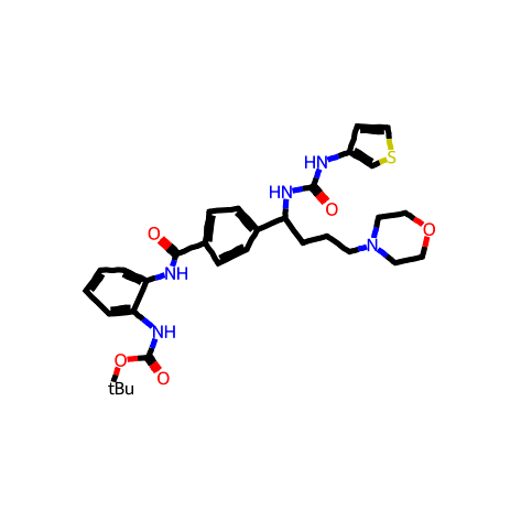 CC(C)(C)OC(=O)Nc1ccccc1NC(=O)c1ccc(C(CCCN2CCOCC2)NC(=O)Nc2ccsc2)cc1